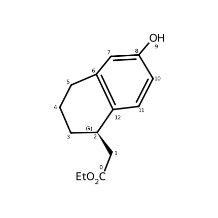 CCOC(=O)C[C@H]1CCCc2cc(O)ccc21